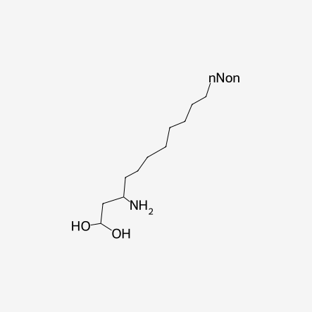 CCCCCCCCCCCCCCCCCC(N)CC(O)O